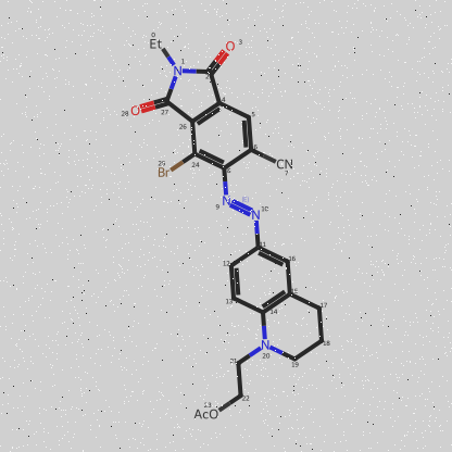 CCN1C(=O)c2cc(C#N)c(/N=N/c3ccc4c(c3)CCCN4CCOC(C)=O)c(Br)c2C1=O